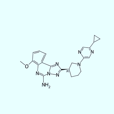 COc1cccc2c1nc(N)n1nc([C@@H]3CCCN(c4cnc(C5CC5)cn4)C3)nc21